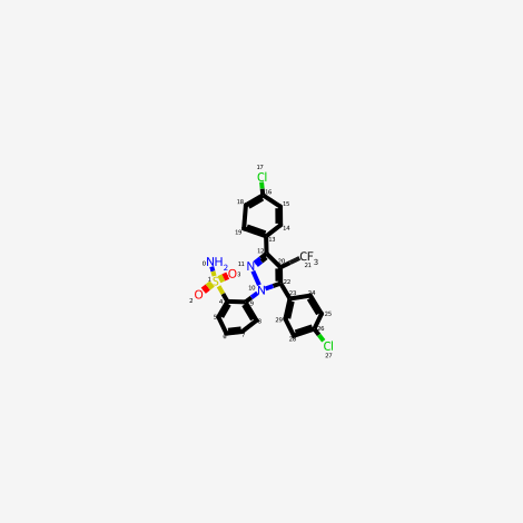 NS(=O)(=O)c1ccccc1-n1nc(-c2ccc(Cl)cc2)c(C(F)(F)F)c1-c1ccc(Cl)cc1